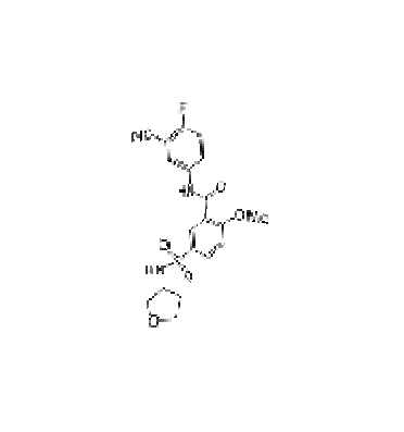 COc1ccc(S(=O)(=O)NC2CCOC2)cc1C(=O)Nc1ccc(F)c(C#N)c1